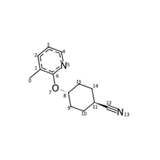 Cc1cccnc1O[C@H]1CC[C@H](C#N)CC1